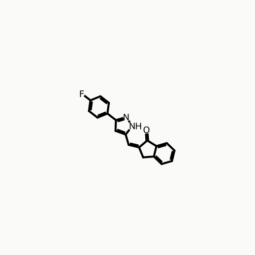 O=C1C(=Cc2cc(-c3ccc(F)cc3)n[nH]2)Cc2ccccc21